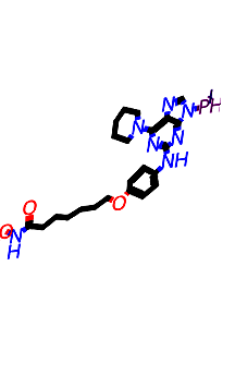 O=C(CCCCCCOc1ccc(Nc2nc(N3CCCCC3)c3ncn(PI)c3n2)cc1)NOPI